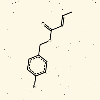 C/C=C/C(=O)OCc1ccc(Br)cc1